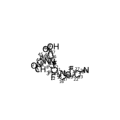 CC(=O)N1C[C@@H](n2c(Cc3cc(F)c(-c4cccc(OCc5ccc(C#N)cc5F)n4)cc3F)nc3ccc(C(=O)O)cc32)C2(CC2)C1